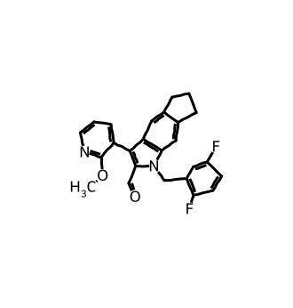 COc1ncccc1-c1c(C=O)n(Cc2cc(F)ccc2F)c2cc3c(cc12)CCC3